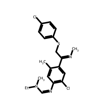 CCN(C)/C=N\c1cc(C)c(/C(CSc2ccc(Cl)cc2)=N/C)cc1Cl